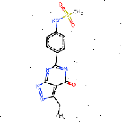 CCC1=C2C(=O)N=C(c3ccc(NS(C)(=O)=O)cc3)N=C2N=N1